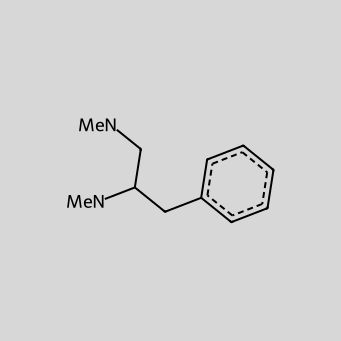 CNCC(Cc1ccccc1)NC